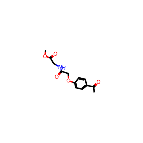 COC(=O)CNC(=O)COc1ccc(C(C)=O)cc1